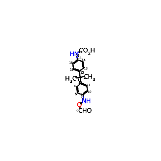 CC(C)(c1ccc(NOC=O)cc1)c1ccc(NC(=O)O)cc1